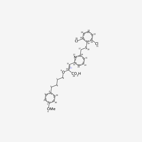 COc1ccc(CCCCO/C(=C/c2cccc(CSc3c(Cl)cccc3Cl)n2)C(=O)O)cc1